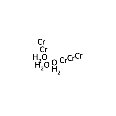 O.O.O.[Cr].[Cr].[Cr].[Cr].[Cr]